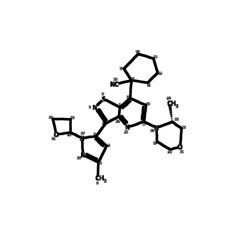 Cc1cc(-c2nsc3c(C4(C#N)CCCCC4)cc(N4CCOC[C@H]4C)nc23)n(C2CCO2)n1